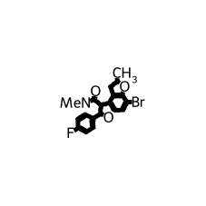 CNC(=O)C1c2c(cc(Br)c3c2CC(C)O3)OC1c1ccc(F)cc1